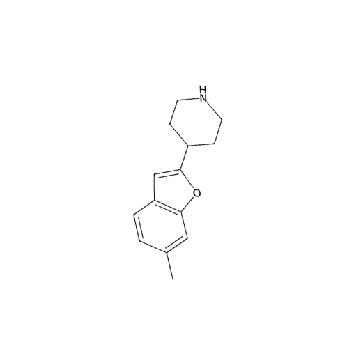 Cc1ccc2cc(C3CCNCC3)oc2c1